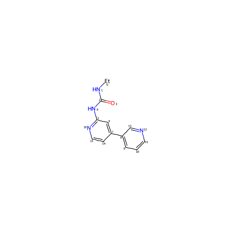 CCNC(=O)Nc1cc(-c2cccnc2)ccn1